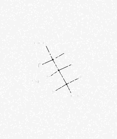 O=C([O-])C(F)(F)C(F)(F)C(F)(F)C(=O)[O-].[Cu+2]